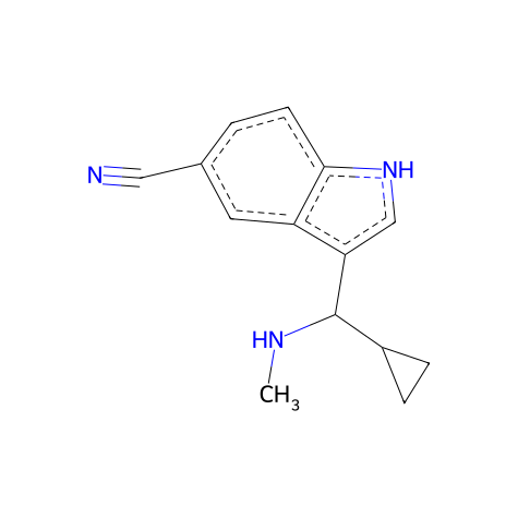 CNC(c1c[nH]c2ccc(C#N)cc12)C1CC1